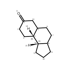 O=C1CC[C@@H]2C(CCC3CCC[C@@H]32)C1